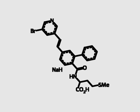 CSCCC(NC(=O)c1ccc(C=Cc2cncc(Br)c2)cc1-c1ccccc1)C(=O)O.[NaH]